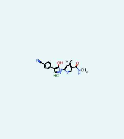 CNC(=O)c1cnc(-n2ncc(-c3ccc(C#N)cc3)c2O)cc1C.Cl